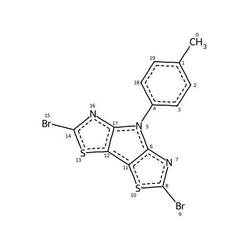 Cc1ccc(-n2c3nc(Br)sc3c3sc(Br)nc32)cc1